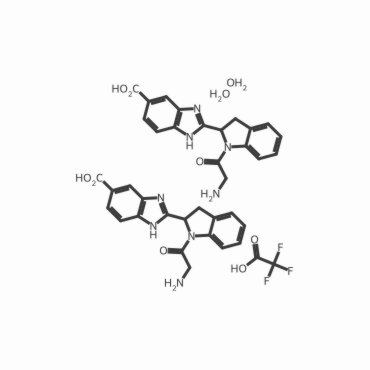 NCC(=O)N1c2ccccc2CC1c1nc2cc(C(=O)O)ccc2[nH]1.NCC(=O)N1c2ccccc2CC1c1nc2cc(C(=O)O)ccc2[nH]1.O.O.O=C(O)C(F)(F)F